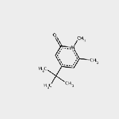 Cc1cc(C(C)(C)C)cc(=O)n1C